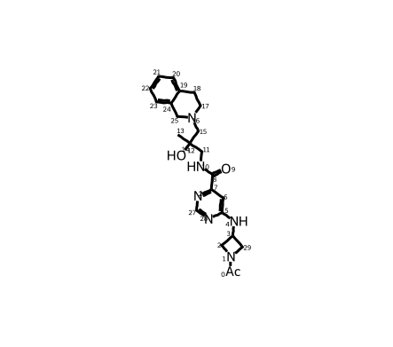 CC(=O)N1CC(Nc2cc(C(=O)NCC(C)(O)CN3CCc4ccccc4C3)ncn2)C1